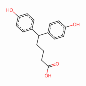 O=C(O)CCCC(c1ccc(O)cc1)c1ccc(O)cc1